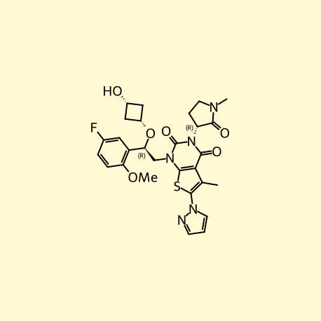 COc1ccc(F)cc1[C@H](Cn1c(=O)n([C@@H]2CCN(C)C2=O)c(=O)c2c(C)c(-n3cccn3)sc21)O[C@H]1C[C@@H](O)C1